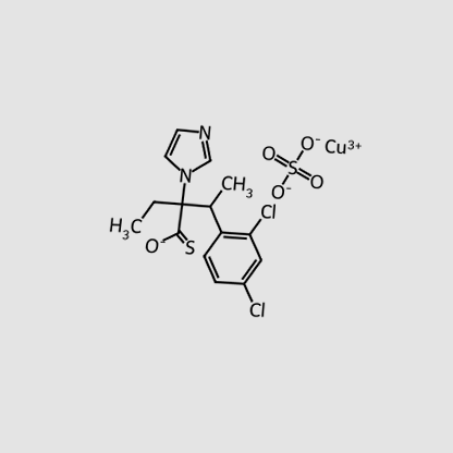 CCC(C([O-])=S)(C(C)c1ccc(Cl)cc1Cl)n1ccnc1.O=S(=O)([O-])[O-].[Cu+3]